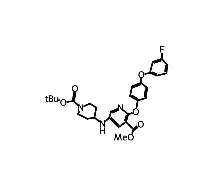 COC(=O)c1cc(NC2CCN(C(=O)OC(C)(C)C)CC2)cnc1Oc1ccc(Oc2cccc(F)c2)cc1